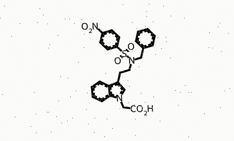 O=C(O)Cn1cc(CCN(Cc2ccccc2)S(=O)(=O)c2ccc([N+](=O)[O-])cc2)c2ccccc21